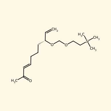 C=C[C@@H](CCC/C=C/C(C)=O)OCOCC[Si](C)(C)C